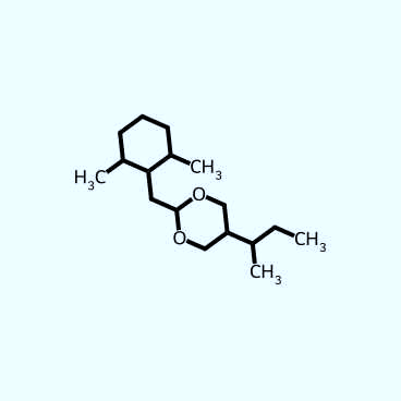 CCC(C)C1COC(CC2C(C)CCCC2C)OC1